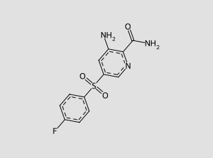 NC(=O)c1ncc(S(=O)(=O)c2ccc(F)cc2)cc1N